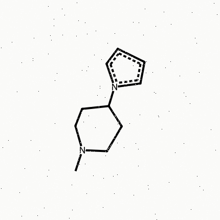 CN1CCC(n2cccc2)CC1